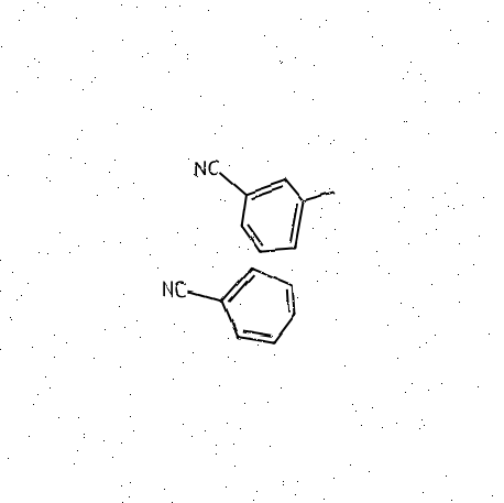 Cc1cccc(C#N)c1.N#Cc1ccccc1